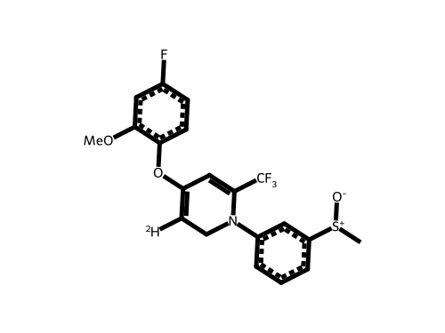 [2H]C1=C(Oc2ccc(F)cc2OC)C=C(C(F)(F)F)N(c2cccc([S+](C)[O-])c2)C1